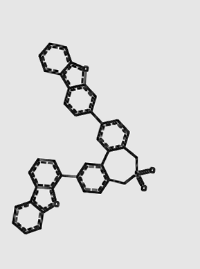 O=S1(=O)Cc2ccc(-c3ccc4c(c3)oc3ccccc34)cc2-c2cc(-c3cccc4c3oc3ccccc34)ccc2C1